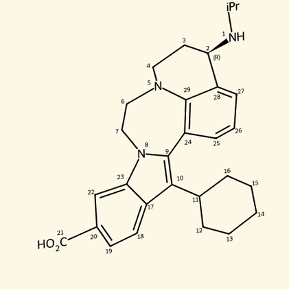 CC(C)N[C@@H]1CCN2CCn3c(c(C4CCCCC4)c4ccc(C(=O)O)cc43)-c3cccc1c32